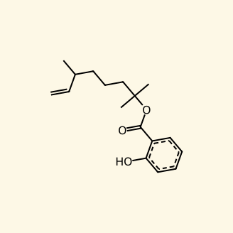 C=CC(C)CCCC(C)(C)OC(=O)c1ccccc1O